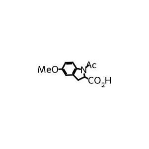 COc1ccc2c(c1)CC(C(=O)O)N2C(C)=O